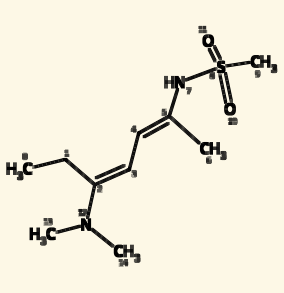 CC/C(=C\C=C(/C)NS(C)(=O)=O)N(C)C